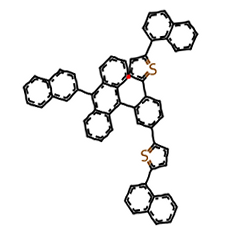 c1ccc2cc(-c3c4ccccc4c(-c4cc(-c5ccc(-c6cccc7ccccc67)s5)ccc4-c4ccc(-c5cccc6ccccc56)s4)c4ccccc34)ccc2c1